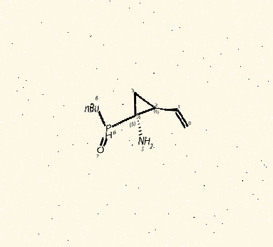 C=C[C@@H]1C[C@]1(N)[PH](=O)CCCC